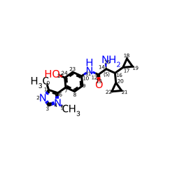 Cc1ncn(C)c1-c1ccc(NC(=O)[C@@H](N)C(C2CC2)C2CC2)cc1O